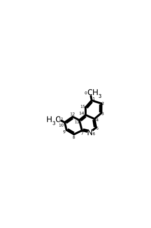 Cc1ccc2cnc3ccc(C)cc3c2c1